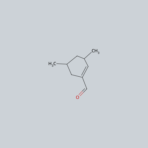 CC1C=C(C=O)CC(C)C1